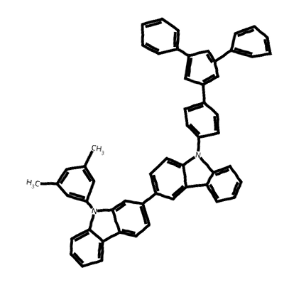 Cc1cc(C)cc(-n2c3ccccc3c3ccc(-c4ccc5c(c4)c4ccccc4n5-c4ccc(-c5cc(-c6ccccc6)cc(-c6ccccc6)c5)cc4)cc32)c1